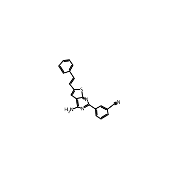 N#Cc1cccc(-c2nc(N)c3cc(C=Cc4ccccc4)sc3n2)c1